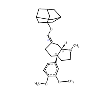 COc1ccc([C@@]23CC/C(=N/OC45CC6CC(CC(C6)C4)C5)C[C@@H]2N(C)CC3)cc1OC